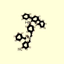 N#Cc1ccc(CN(Cc2ccc(Nc3c(-c4ccccc4)ccc4c3sc3ccccc34)cc2)/N=C/c2ccccc2)cc1